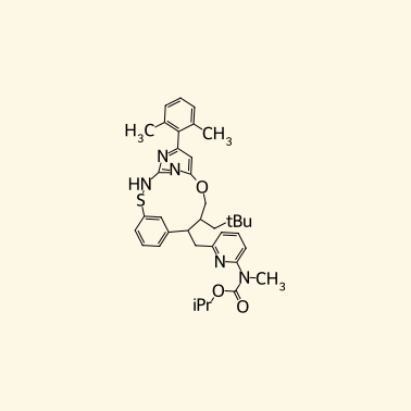 Cc1cccc(C)c1-c1cc2nc(n1)NSc1cccc(c1)C(Cc1cccc(N(C)C(=O)OC(C)C)n1)C(CC(C)(C)C)CO2